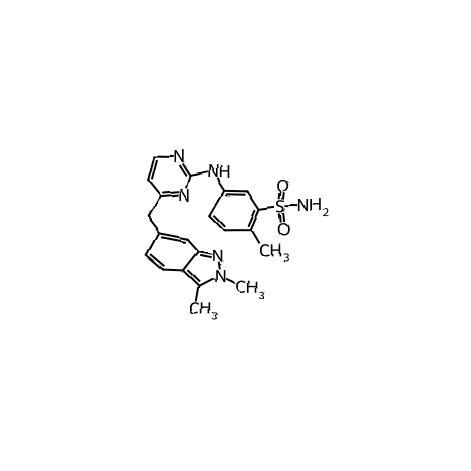 Cc1ccc(Nc2nccc(Cc3ccc4c(C)n(C)nc4c3)n2)cc1S(N)(=O)=O